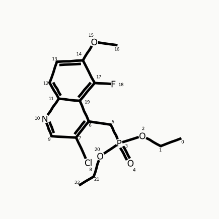 CCOP(=O)(Cc1c(Cl)cnc2ccc(OC)c(F)c12)OCC